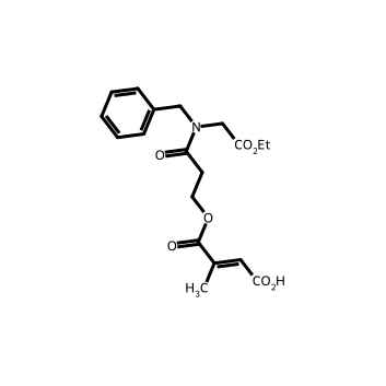 CCOC(=O)CN(Cc1ccccc1)C(=O)CCOC(=O)C(C)=CC(=O)O